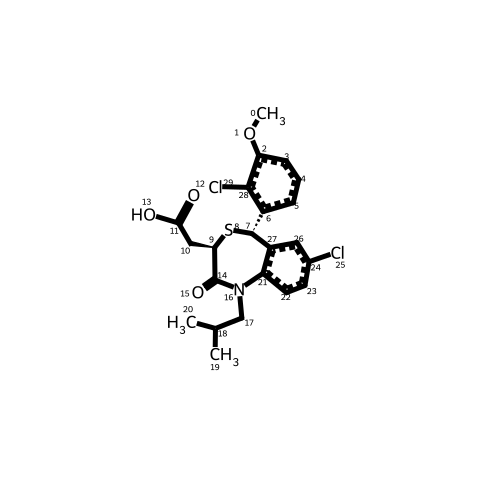 COc1cccc([C@H]2S[C@H](CC(=O)O)C(=O)N(CC(C)C)c3ccc(Cl)cc32)c1Cl